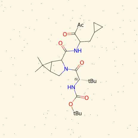 CC(=O)C(=O)C(CC1CC1)NC(=O)C1C2C(CN1C(=O)[C@@H](NC(=O)OC(C)(C)C)C(C)(C)C)C2(C)C